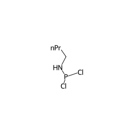 CCCCNP(Cl)Cl